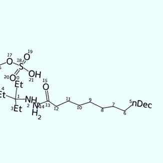 CCC(N)(CC)CC.CCCCCCCCCCCCCCCCCC(N)=O.COS(=O)(=O)O